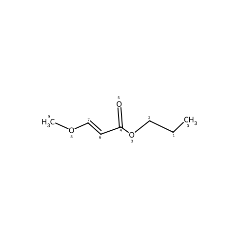 CCCOC(=O)/C=C/OC